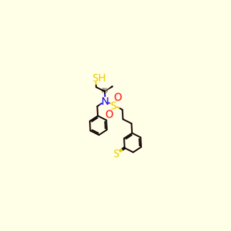 C[C@H](CS)N(Cc1ccccc1)S(=O)(=O)CCCC1=CC(=S)CC=C1